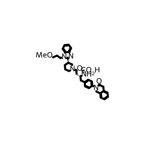 COCCCn1c([C@@H]2CCCN(C(=O)C[C@@H](Cc3ccc(N4Cc5ccccc5CC4=O)cc3)NC(=O)O)C2)nc2ccccc21